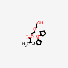 C1=C(OC2=CCCC2)CCC1.C=C(C)C(=O)OCCOCCO